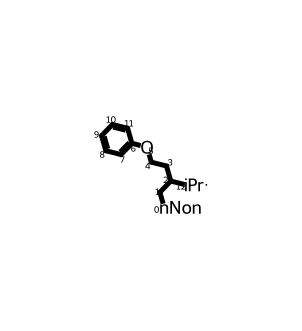 CCCCCCCCCCC(CCOc1ccccc1)[C](C)C